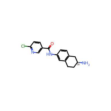 N[C@H]1CCc2cc(NC(=O)c3ccc(Cl)nc3)ccc2C1